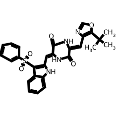 CC(C)(C)c1ocnc1C=c1[nH]c(=O)c(=Cc2[nH]c3ccccc3c2S(=O)(=O)c2ccccc2)[nH]c1=O